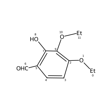 CCOc1ccc(C=O)c(O)c1OCC